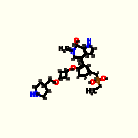 CCS(=O)(=O)Cc1ccc(OC2CC(OCC3CCNCC3)C2)c(-c2cn(C)c(=O)c3[nH]ccc23)c1